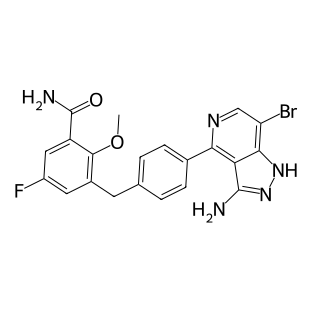 COc1c(Cc2ccc(-c3ncc(Br)c4[nH]nc(N)c34)cc2)cc(F)cc1C(N)=O